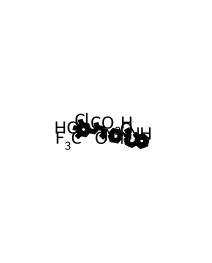 O=C(O)C(CC(=O)N1CCC(N2CCc3ccccc3NC2=O)CC1)Cc1cc(Cl)c(O)c(C(F)(F)F)c1